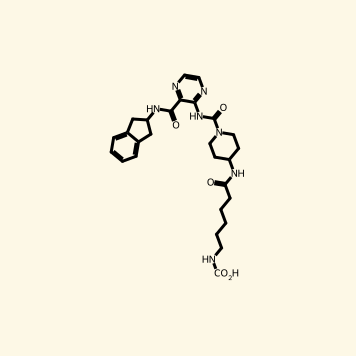 O=C(O)NCCCCCC(=O)NC1CCN(C(=O)Nc2nccnc2C(=O)NC2Cc3ccccc3C2)CC1